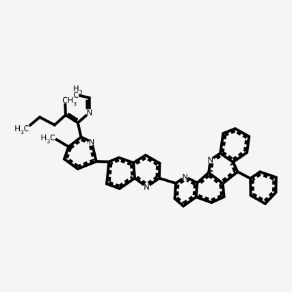 C/C=N\C(=C(/C)CCC)c1nc(-c2ccc3nc(-c4ccc5ccc6c(-c7ccccc7)c7ccccc7nc6c5n4)ccc3c2)ccc1C